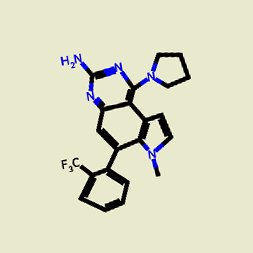 Cn1ccc2c3c(N4CCCC4)nc(N)nc3cc(-c3ccccc3C(F)(F)F)c21